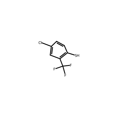 FC(F)(F)c1cc(Cl)ccc1S